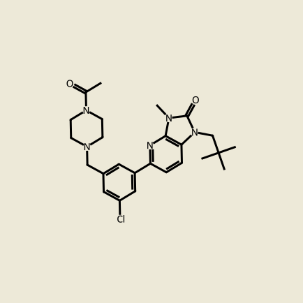 CC(=O)N1CCN(Cc2cc(Cl)cc(-c3ccc4c(n3)n(C)c(=O)n4CC(C)(C)C)c2)CC1